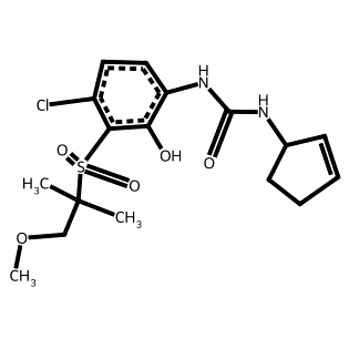 COCC(C)(C)S(=O)(=O)c1c(Cl)ccc(NC(=O)NC2C=CCC2)c1O